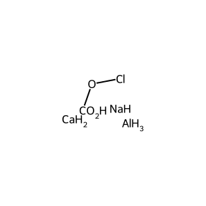 O=C(O)OCl.[AlH3].[CaH2].[NaH]